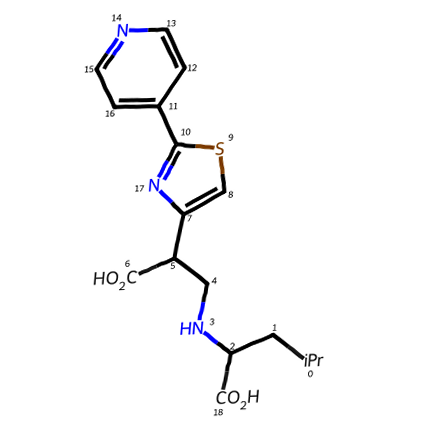 CC(C)CC(NCC(C(=O)O)c1csc(-c2ccncc2)n1)C(=O)O